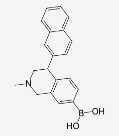 CN1Cc2cc(B(O)O)ccc2C(c2ccc3ccccc3c2)C1